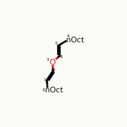 CCCCCCCC/C=C/O/C=C/CCCCCCCC